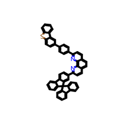 c1ccc2c(c1)-c1ccccc1C21c2ccccc2-c2ccc(-c3ccc4ccc5ccc(-c6ccc(-c7ccc8sc9ccccc9c8c7)cc6)nc5c4n3)cc21